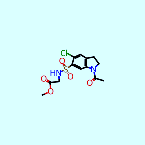 COC(=O)CNS(=O)(=O)c1cc2c(cc1Cl)CCN2C(C)=O